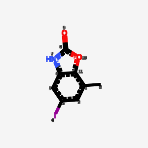 Cc1cc(I)cc2[nH]c(=O)oc12